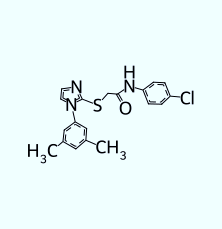 Cc1cc(C)cc(-n2ccnc2SCC(=O)Nc2ccc(Cl)cc2)c1